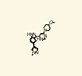 COC1CCN(C2=CC(c3n[nH]c4ccc(-c5cnn(C)c5)cc34)NC=N2)CC1